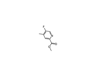 COC(=O)c1cc(C)c(F)cn1